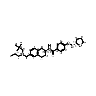 CCCN(Cc1ccc2c(c1)CC[C@H](NC(=O)c1ccc(OC[C@@H]3CCCO3)cc1)C2)CC(C)(C)C